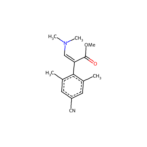 COC(=O)/C(=C\N(C)C)c1c(C)cc(C#N)cc1C